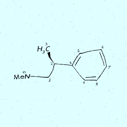 CNC[C@@H](C)c1ccccc1